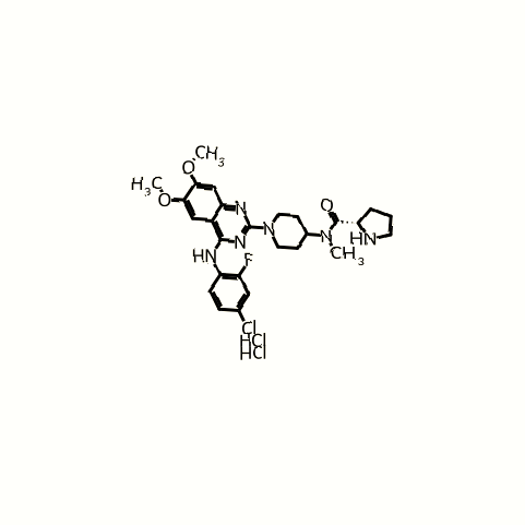 COc1cc2nc(N3CCC(N(C)C(=O)[C@@H]4CCCN4)CC3)nc(Nc3ccc(Cl)cc3F)c2cc1OC.Cl.Cl